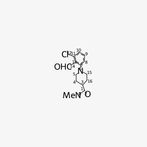 CNC(=O)C1CCN(c2cccc(Cl)c2C=O)CC1